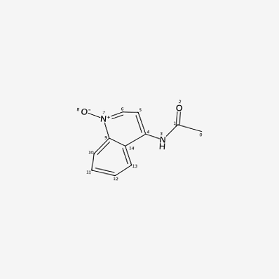 CC(=O)Nc1cc[n+]([O-])c2ccccc12